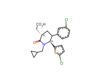 O=C(O)C[C@@H]1CC(c2cccc(Cl)c2)[C@@H](c2ccc(Cl)s2)N(CC2CC2)C1=O